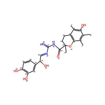 Cc1c(C)c2c(c(C)c1O)CCC(C)(C(=O)NC(=N)N=CC(O)c1ccc(O)c(O)c1)O2